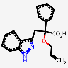 C=CCOC(Cc1n[nH]c2ccccc12)(C(=O)O)c1ccccc1